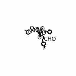 C[C@@H]1C[C@@H](C)CN(C(=O)Cn2ccn3c(=O)c(OCc4ccccc4)c(C(=O)SC(C=O)Cc4ccc(F)cc4)nc23)C1